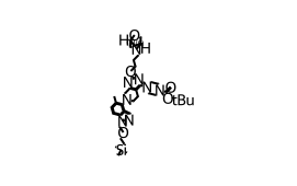 Cc1ccc2c(cnn2COCC[Si](C)(C)C)c1N1CCc2c(nc(OCCCN3C[C@@H]4C[C@H]3CO4)nc2N2CCN(C(=O)OC(C)(C)C)CC2)C1